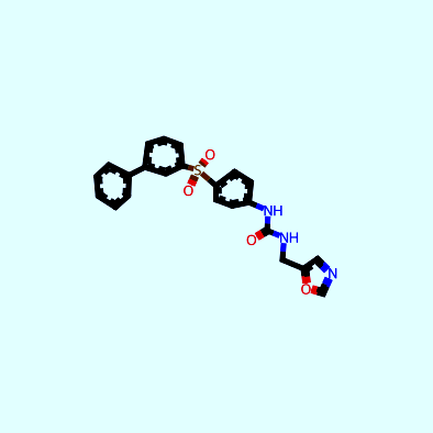 O=C(NCc1cnco1)Nc1ccc(S(=O)(=O)c2cccc(-c3ccccc3)c2)cc1